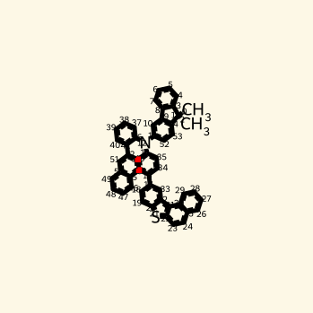 CC1(C)c2ccccc2-c2cc(N(c3ccc(-c4ccc5sc6ccc7ccccc7c6c5c4)cc3)c3ccccc3-c3ccc4ccccc4c3)ccc21